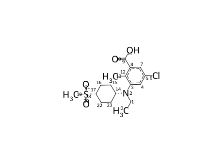 CCN(c1cc(Cl)cc(C(=O)O)c1C)[C@H]1CC[C@@H](S(C)(=O)=O)CC1